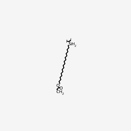 C=CC(=O)OCCCCCCCCCCCCCCCCCCCC[SiH2]C(I)I